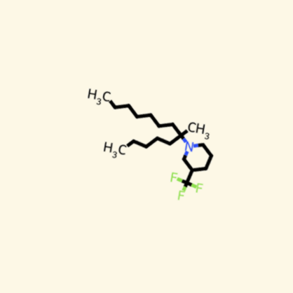 CCCCCCCC(C)(CCCCC)N1CCCC(C(F)(F)F)C1